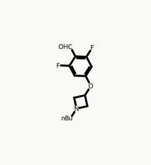 CCCCN1CC(Oc2cc(F)c(C=O)c(F)c2)C1